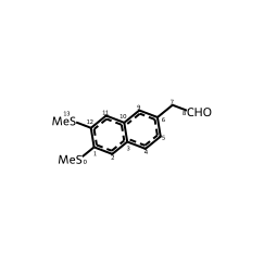 CSc1cc2ccc(CC=O)cc2cc1SC